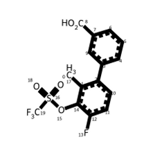 Cc1c(-c2cccc(C(=O)O)c2)ccc(F)c1OS(=O)(=O)C(F)(F)F